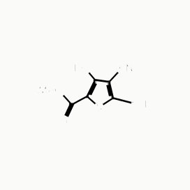 COC(=O)c1sc(C)c(C#N)c1C